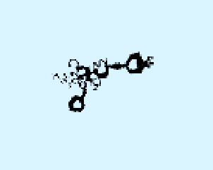 CN1C(=O)CC(C(=O)OCc2ccccc2)(c2ccc(C#Cc3ccc(F)cc3)nn2)C1(C)C